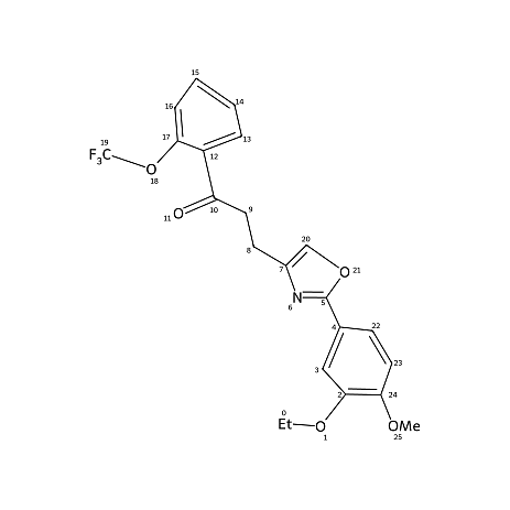 CCOc1cc(-c2nc(CCC(=O)c3ccccc3OC(F)(F)F)co2)ccc1OC